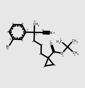 CC(C)(C)OC(=O)C1(CCCC(C)(C#N)c2cccc(Br)c2)CC1